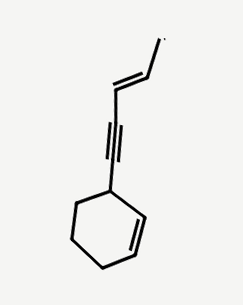 [CH2]C=CC#CC1C=CCCC1